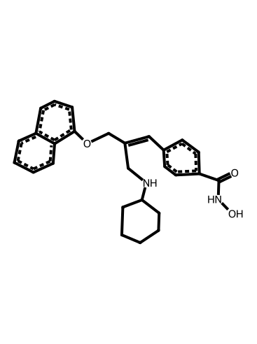 O=C(NO)c1ccc(C=C(CNC2CCCCC2)COc2cccc3ccccc23)cc1